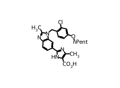 CCCCCOc1ccc(Cn2c(C)nc3ccc(-c4nc(C)c(C(=O)O)[nH]4)cc32)c(Cl)c1